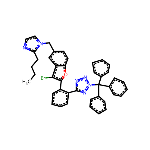 CCCCc1nccn1Cc1ccc2oc(-c3ccccc3-c3nnn(C(c4ccccc4)(c4ccccc4)c4ccccc4)n3)c(Br)c2c1